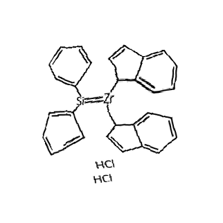 C1=C[CH]([Zr]([CH]2C=Cc3ccccc32)=[Si](c2ccccc2)c2ccccc2)c2ccccc21.Cl.Cl